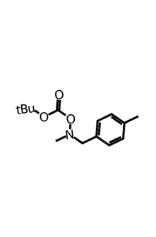 Cc1ccc(CN(C)OC(=O)OC(C)(C)C)cc1